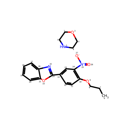 C1COCCN1.CCCOc1ccc(-c2nc3ccccc3o2)cc1[N+](=O)[O-]